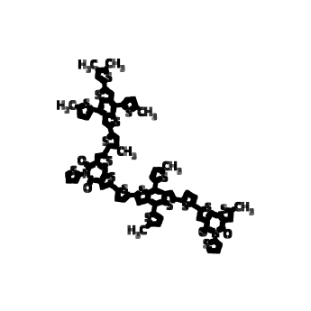 Cc1ccc(-c2c3cc(-c4ccc(-c5cc6c(=O)n(-c7cccs7)c(=O)c7cc(-c8sc(-c9cc%10c(-c%11ccc(C)s%11)c%11sc(-c%12cc(C)c(C)s%12)cc%11c(-c%11ccc(C)s%11)c%10s9)cc8C)sc7c6s5)s4)sc3c(-c3ccc(C)s3)c3cc(-c4ccc(-c5cc6c(=O)n(-c7cccs7)c(=O)c7cc(C)sc7c6s5)s4)sc23)s1